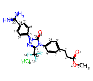 COC(=O)CCc1ccc(-n2c(C(F)(F)F)nn(-c3ccc(C(=N)N)cc3)c2=O)cc1.Cl